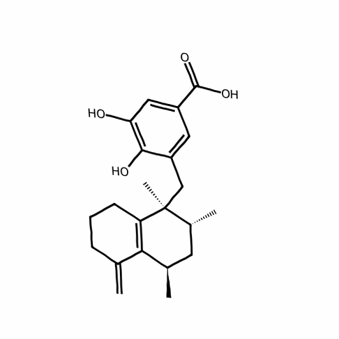 C=C1CCCC2=C1[C@H](C)C[C@@H](C)[C@]2(C)Cc1cc(C(=O)O)cc(O)c1O